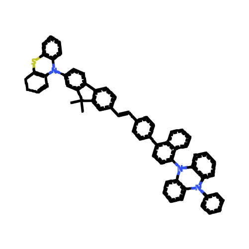 CC1(C)c2cc(/C=C/c3ccc(-c4ccc(N5c6ccccc6N(c6ccccc6)c6ccccc65)c5ccccc45)cc3)ccc2-c2ccc(N3C4=C(CCC=C4)Sc4ccccc43)cc21